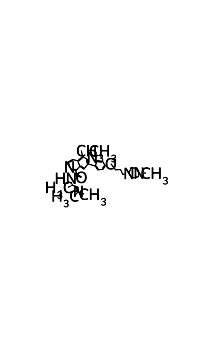 Cc1c2ccnc(C(=O)N[C@H](C)CN(C)C)c2cc2c3ccc(OCCCN4CCN(C)CC4)cc3n(C)c12